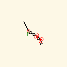 CCCCCCCCCCOc1ccc(-c2ccc(C(=O)Oc3ccc(C(=O)OC[C@@H](C)CC)cc3)cc2)cc1F